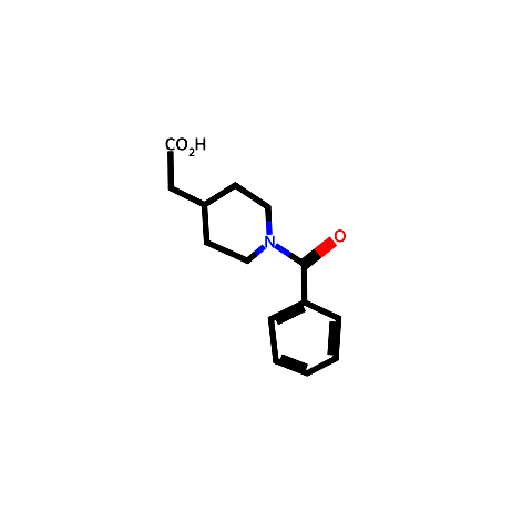 O=C(O)CC1CCN(C(=O)c2ccccc2)CC1